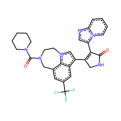 O=C1NCC(c2cn3c4c(cc(C(F)(F)F)cc24)CN(C(=O)N2CCCCC2)CC3)=C1c1cnc2ccccn12